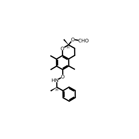 Cc1c(C)c2c(c(C)c1ON[C@H](C)c1ccccc1)CC[C@@](C)(OC=O)O2